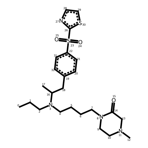 CCCN(CCCCN1CCN(C)CC1=O)C(C)Cc1ccc(S(=O)(=O)c2nccs2)cc1